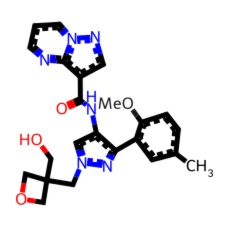 COc1ccc(C)cc1-c1nn(CC2(CO)COC2)cc1NC(=O)c1cnn2cccnc12